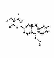 C=CCOc1ccc(COC(C)N(CC)C(C)C)cc1Cc1ccccc1